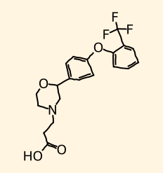 O=C(O)CCN1CCOC(c2ccc(Oc3ccccc3C(F)(F)F)cc2)C1